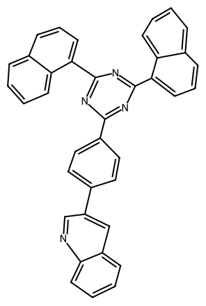 c1ccc2ncc(-c3ccc(-c4nc(-c5cccc6ccccc56)nc(-c5cccc6ccccc56)n4)cc3)cc2c1